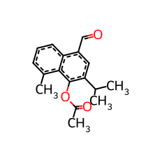 CC(=O)Oc1c(C(C)C)cc(C=O)c2cccc(C)c12